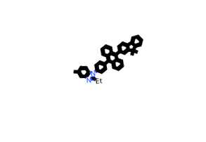 CCc1nc2cc(C)ccc2n1-c1ccc(-c2c3ccccc3c(-c3ccc4c(c3)C(C)(C)c3ccccc3-4)c3ccccc23)cc1